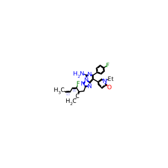 C=C=C(Cc1nc2c(-c3ccc(=O)n(CC)c3)c(-c3ccc(F)cc3)nc(N)n2n1)/C(F)=C\C=C/C